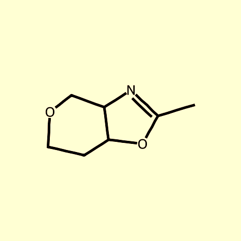 CC1=NC2COCCC2O1